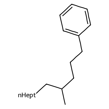 CCCCCCCCC(C)CCCc1ccccc1